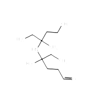 CCCC(C)(CC)NC(C)(CC)CCC=O